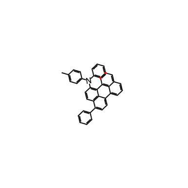 Cc1ccc(N(c2ccccc2)c2ccc3c(-c4ccccc4)ccc4c5cccc6cccc(c2c34)c65)cc1